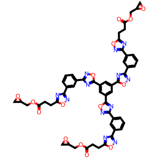 O=C(CCc1nc(-c2cccc(-c3noc(-c4cc(-c5nc(-c6cccc(-c7noc(CCC(=O)OCC8CO8)n7)c6)no5)cc(-c5nc(-c6cccc(-c7noc(CCC(=O)OCC8CO8)n7)c6)no5)c4)n3)c2)no1)OCC1CO1